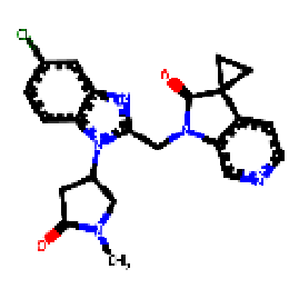 CN1CC(n2c(CN3C(=O)C4(CC4)c4ccncc43)nc3cc(Cl)ccc32)CC1=O